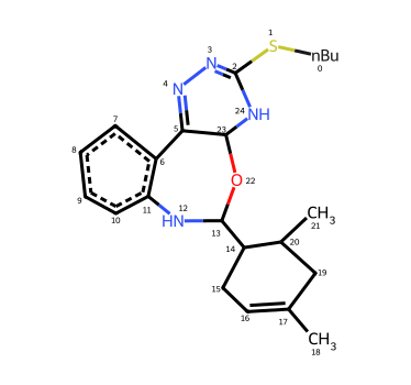 CCCCSC1=NN=C2c3ccccc3NC(C3CC=C(C)CC3C)OC2N1